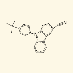 CC(C)(C)c1ccc(-n2c3ccccc3c3cc(C#N)ccc32)cc1